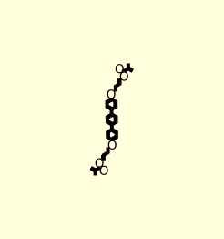 C=C(C)C(=O)O/C=C/CCOc1ccc(-c2ccc(-c3ccc(OCC/C=C/OC(=O)C(=C)C)cc3)cc2)cc1